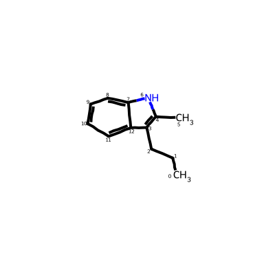 CCCc1c(C)[nH]c2ccccc12